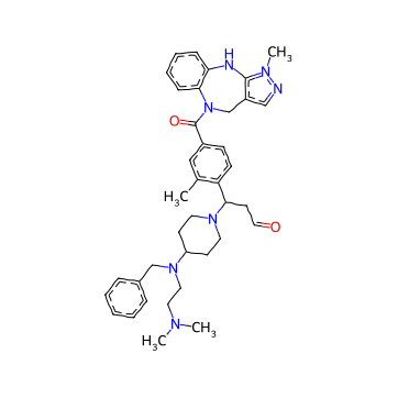 Cc1cc(C(=O)N2Cc3cnn(C)c3Nc3ccccc32)ccc1C(CC=O)N1CCC(N(CCN(C)C)Cc2ccccc2)CC1